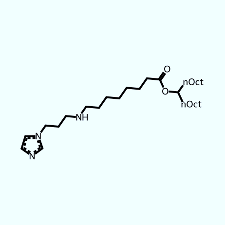 CCCCCCCCC(CCCCCCCC)OC(=O)CCCCCCCNCCCn1ccnc1